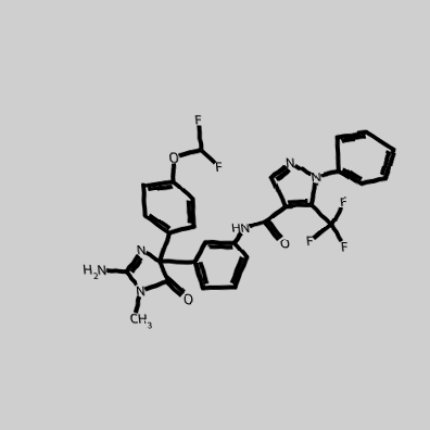 CN1C(=O)C(c2ccc(OC(F)F)cc2)(c2cccc(NC(=O)c3cnn(-c4ccccc4)c3C(F)(F)F)c2)N=C1N